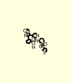 O=S(=O)(c1ccsc1)N1CCC[C@@H](Nc2nccc(-c3c(-c4cccc(O)c4)nc4occn34)n2)C1